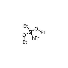 [CH2]C[Si](CCC)(OCC)OCC